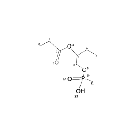 CCC(=O)OC(CC)COP(C)(=O)O